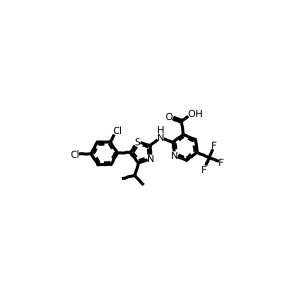 CC(C)c1nc(Nc2ncc(C(F)(F)F)cc2C(=O)O)sc1-c1ccc(Cl)cc1Cl